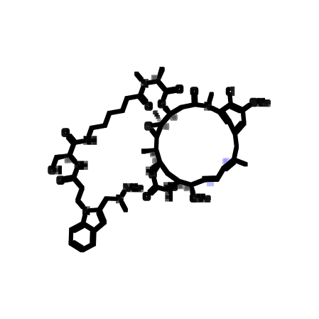 CNN(C)Cc1cc2ccccc2n1CCC(=O)N[C@@H](CO)C(=O)NCCCCCC(=O)N(C)[C@@H](C)C(=O)O[C@H]1CC(=O)N(C)c2cc(cc(OC)c2Cl)C/C(C)=C/C=C/[C@@H](OC)[C@@]2(O)C[C@H](OC(=O)N2)[C@@H](C)C2O[C@]21C